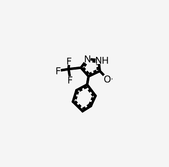 [O]c1[nH]nc(C(F)(F)F)c1-c1ccccc1